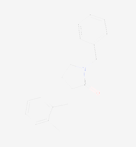 Cc1ccccc1C[C@@H]1CCN([C@@H](C)c2ccccc2)C1=O